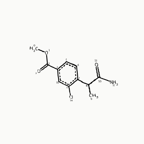 COC(=O)c1ccc(C(C)C(N)=O)c(Cl)c1